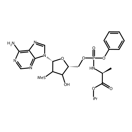 CSC1C(O)[C@@H](COP(=O)(N[C@@H](C)C(=O)OC(C)C)Oc2ccccc2)O[C@H]1n1cnc2c(N)ncnc21